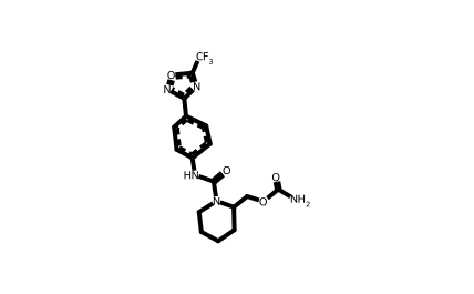 NC(=O)OCC1CCCCN1C(=O)Nc1ccc(-c2noc(C(F)(F)F)n2)cc1